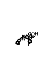 CCC(C(=O)O)n1c2c(c3cc(F)ccc31)CC(N(C)C(=O)CC1Cc3ccccc3C1)CC2